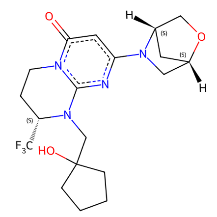 O=c1cc(N2C[C@@H]3C[C@H]2CO3)nc2n1CC[C@@H](C(F)(F)F)N2CC1(O)CCCC1